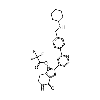 O=C1NCCc2c1cc(-c1ccnc(-c3ccc(CNC4CCCCC4)cc3)c1)n2OC(=O)C(F)(F)F